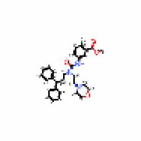 COC(=O)c1cc(NC(=O)N(CCC(c2ccccc2)c2ccccc2)CCN2CCOCC2)ccc1Cl